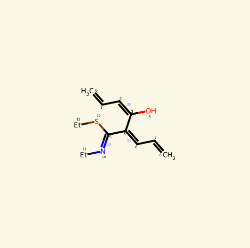 C=C\C=C(O)/C(=C\C=C)C(=N/CC)/SCC